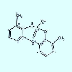 Cc1ccccc1OP(=O)(O)Oc1c(C)cccc1C